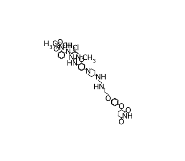 COc1cc(N2CCC(NCCNCCCOc3ccc(OC4CCC(=O)NC4=O)cc3)CC2)ccc1Nc1ncc(Cl)c(Nc2ccccc2N(C)S(C)(=O)=O)n1